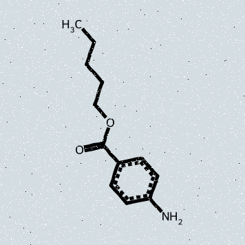 CCCCCOC(=O)c1ccc(N)cc1